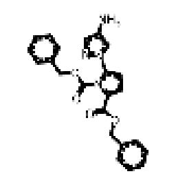 Nc1cnn(-c2ccc(C(=O)OCc3ccccc3)n2C(=O)OCc2ccccc2)c1